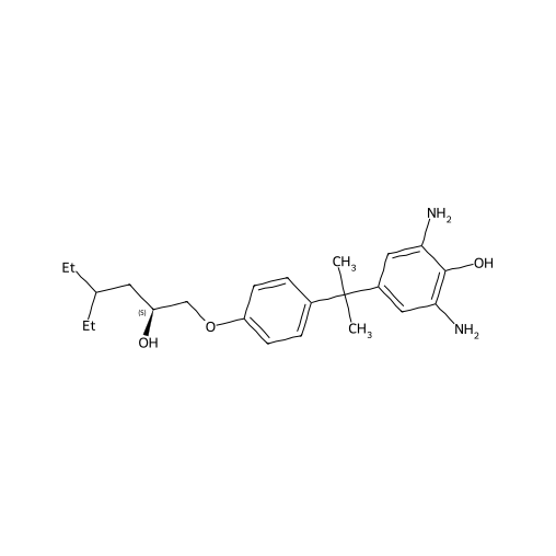 CCC(CC)C[C@H](O)COc1ccc(C(C)(C)c2cc(N)c(O)c(N)c2)cc1